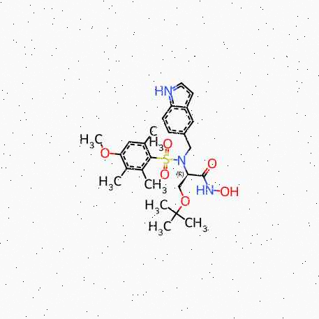 COc1cc(C)c(S(=O)(=O)N(Cc2ccc3[nH]ccc3c2)[C@H](COC(C)(C)C)C(=O)NO)c(C)c1C